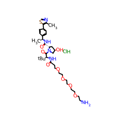 Cc1ncsc1-c1ccc([C@H](C)NC(=O)[C@@H]2C[C@@H](O)CN2C(=O)[C@@H](NC(=O)CCOCCOCCOCCOCCN)C(C)(C)C)cc1.Cl